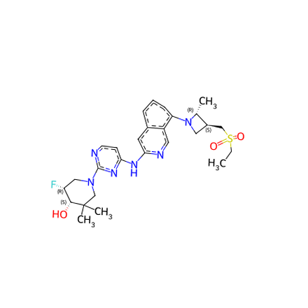 CCS(=O)(=O)C[C@H]1CN(c2cccc3cc(Nc4ccnc(N5C[C@@H](F)[C@@H](O)C(C)(C)C5)n4)ncc23)[C@@H]1C